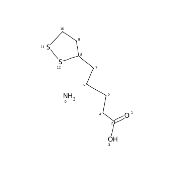 N.O=C(O)CCCCC1CCSS1